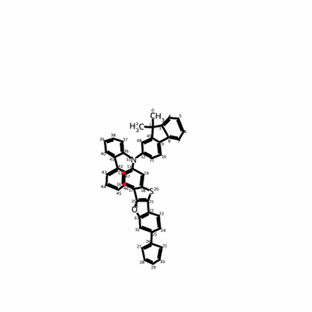 CC1(C)c2ccccc2-c2ccc(N(c3ccc4c(c3)sc3c5ccc(-c6ccccc6)cc5oc43)c3ccccc3-c3ccccc3)cc21